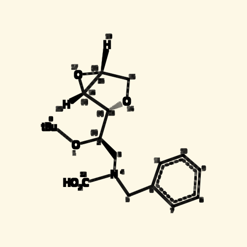 CC(C)(C)O[C@H](CN(Cc1ccccc1)C(=O)O)[C@H]1OC[C@H]2O[C@@H]12